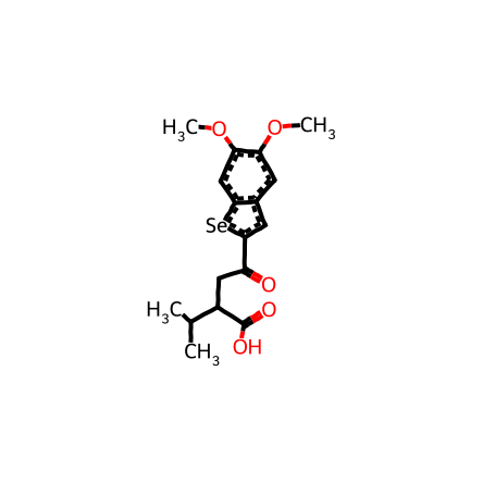 COc1cc2cc(C(=O)CC(C(=O)O)C(C)C)[se]c2cc1OC